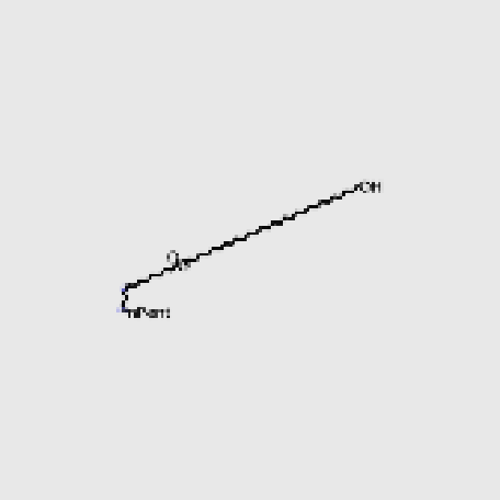 CCCCC/C=C\C/C=C\CCCCCCCC(=O)OCCCCCCCCCCCCCCCCCCCCCCCCCCCCCO